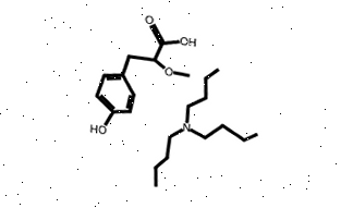 CCCCN(CCCC)CCCC.COC(Cc1ccc(O)cc1)C(=O)O